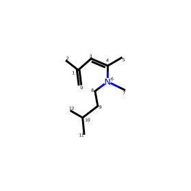 C=C(C)/C=C(/C)N(C)CCC(C)C